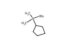 CC(C)(C)[Si](C)(C)C1[CH]CCC1